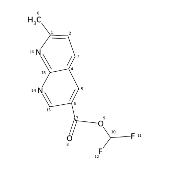 Cc1ccc2cc(C(=O)OC(F)F)cnc2n1